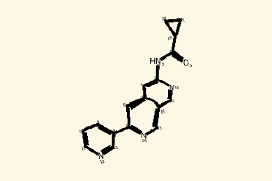 O=C(Nc1cc2cc(-c3cccnc3)ncc2cn1)C1CC1